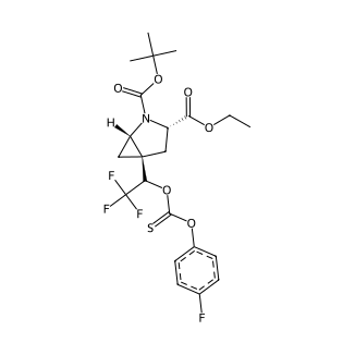 CCOC(=O)[C@@H]1C[C@]2(C(OC(=S)Oc3ccc(F)cc3)C(F)(F)F)C[C@@H]2N1C(=O)OC(C)(C)C